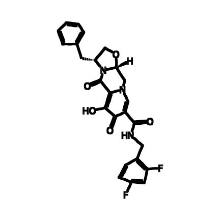 O=C(NCc1ccc(F)cc1F)c1cn2c(c(O)c1=O)C(=O)N1[C@H](Cc3ccccc3)CO[C@@H]1C2